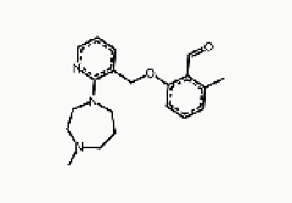 Cc1cccc(OCc2cccnc2N2CCCN(C)CC2)c1C=O